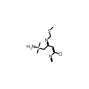 C=N/C(Cl)=C\C(CS(C)(C)N)=N/CSC